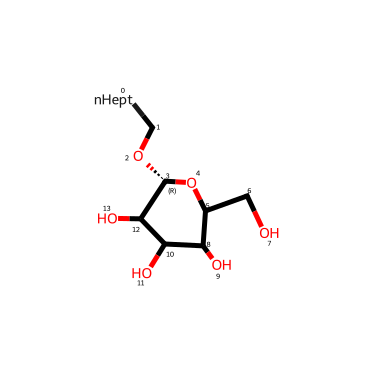 CCCCCCCCO[C@@H]1OC(CO)C(O)C(O)C1O